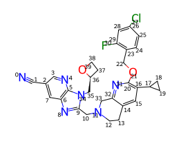 N#Cc1cnc2c(c1)nc(CN1CCc3cc(C4CC4)c(OCc4ccc(Cl)cc4F)nc3C1)n2C[C@@H]1CCO1